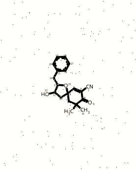 CC1(C)CC2(C=C(C#N)C1=O)CC(O)C(Cc1ccccc1)O2